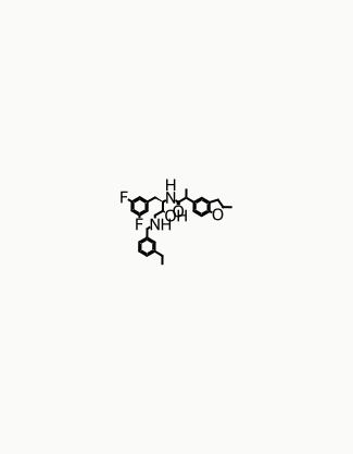 CCc1cccc(CNC[C@H](O)[C@@H](Cc2cc(F)cc(F)c2)NC(=O)C(C)c2ccc3c(c2)CC(C)O3)c1